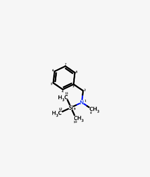 CN(Cc1ccccc1)[Si](C)(C)C